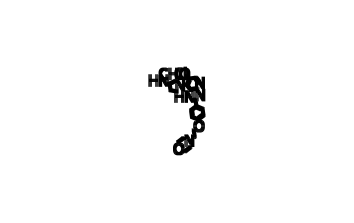 O=CNC1CCN(c2c(Cl)cnc3nc(-c4ccc(OCCN5CCOCC5)cc4)[nH]c23)C1